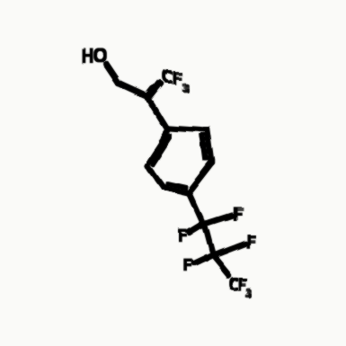 OCC(c1ccc(C(F)(F)C(F)(F)C(F)(F)F)cc1)C(F)(F)F